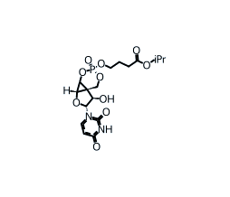 CC(C)OC(=O)CCCO[P@]1(=O)OC[C@]23C(O1)[C@H]2O[C@@H](n1ccc(=O)[nH]c1=O)[C@@H]3O